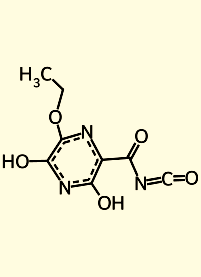 CCOc1nc(C(=O)N=C=O)c(O)nc1O